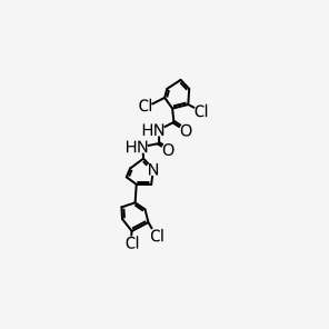 O=C(NC(=O)c1c(Cl)cccc1Cl)Nc1ccc(-c2ccc(Cl)c(Cl)c2)cn1